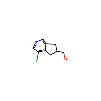 OCC1Cc2cncc(F)c2C1